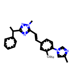 COc1cc(C=Cc2nc(C(C)c3ccccc3)nn2C)ccc1-n1cnc(C)c1